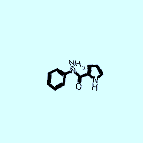 NN(C(=O)c1ccc[nH]1)c1ccccc1